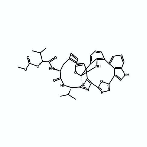 COC(=O)O[C@H](C(=O)N[C@H]1Cc2ccc3c(c2)C24c5cccc(c5N[C@H]2O3)-c2cccc3[nH]cc(c23)-c2cnc(o2)-c2nc(oc24)[C@H](C(C)C)NC1=O)C(C)C